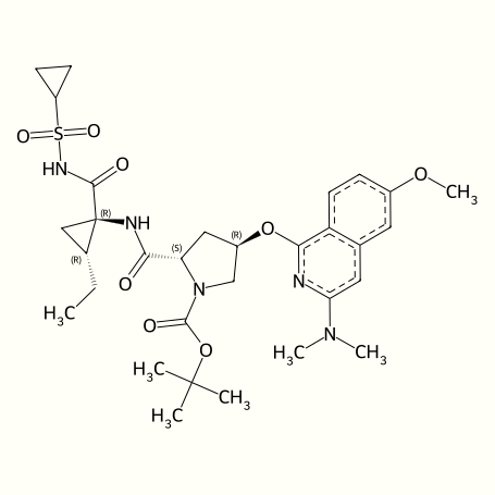 CC[C@@H]1C[C@]1(NC(=O)[C@@H]1C[C@@H](Oc2nc(N(C)C)cc3cc(OC)ccc23)CN1C(=O)OC(C)(C)C)C(=O)NS(=O)(=O)C1CC1